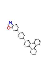 c1ccc2c(c1)c1ccccc1c1cc(-c3ccc(-c4ccc5ncoc5c4)cc3)ccc21